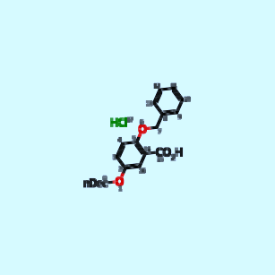 CCCCCCCCCCOc1ccc(OCc2ccccc2)c(C(=O)O)c1.Cl